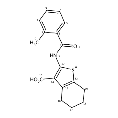 Cc1ccccc1C(=O)Nc1sc2c(c1C(=O)O)CCCC2